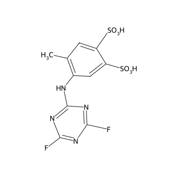 Cc1cc(S(=O)(=O)O)c(S(=O)(=O)O)cc1Nc1nc(F)nc(F)n1